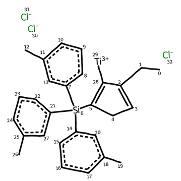 CCC1=CCC([Si](c2cccc(C)c2)(c2cccc(C)c2)c2cccc(C)c2)=[C]1[Ti+3].[Cl-].[Cl-].[Cl-]